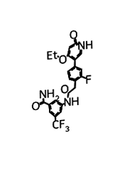 CCOc1cc(=O)[nH]cc1-c1ccc(CC(=O)Nc2cc(C(N)=O)cc(C(F)(F)F)c2)c(F)c1